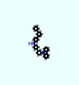 C1=CC(c2ccc(Nc3ccc(-c4cccc(-c5ccccc5)c4)cc3)cc2)=CC(n2c3ccccc3c3ccccc32)C1